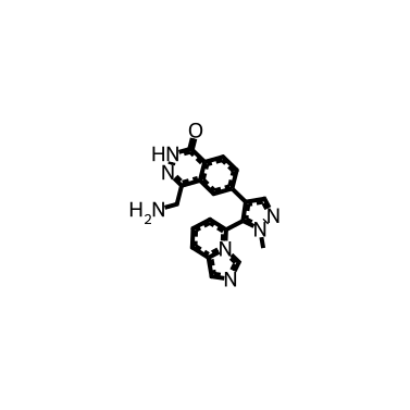 Cn1ncc(-c2ccc3c(=O)[nH]nc(CN)c3c2)c1-c1cccc2cncn12